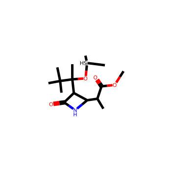 COC(=O)C(C)C1NC(=O)C1C(C)(O[SiH](C)C)C(C)(C)C